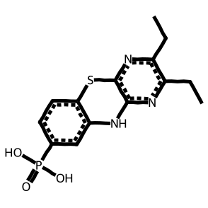 CCc1nc2c(nc1CC)Sc1ccc(P(=O)(O)O)cc1N2